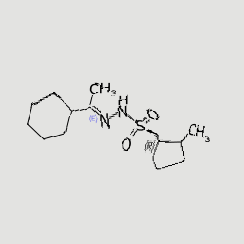 C/C(=N\NS(=O)(=O)[C@@H]1CCC1C)C1CCCCC1